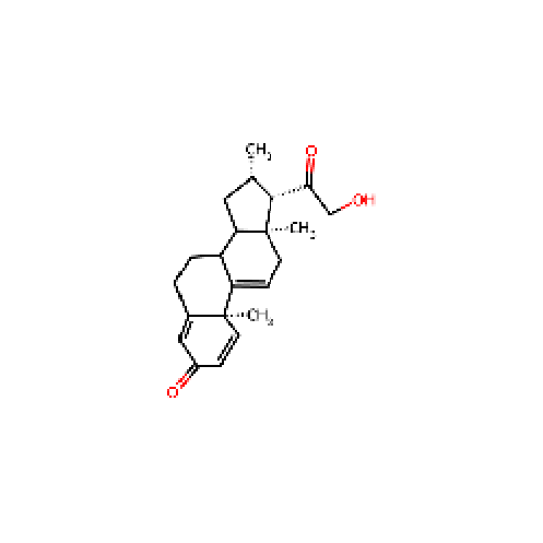 C[C@H]1CC2C3CCC4=CC(=O)C=C[C@]4(C)C3=CC[C@]2(C)[C@H]1C(=O)CO